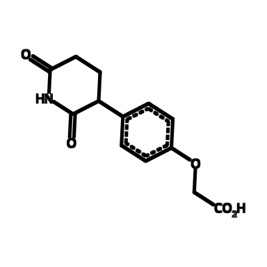 O=C(O)COc1ccc(C2CCC(=O)NC2=O)cc1